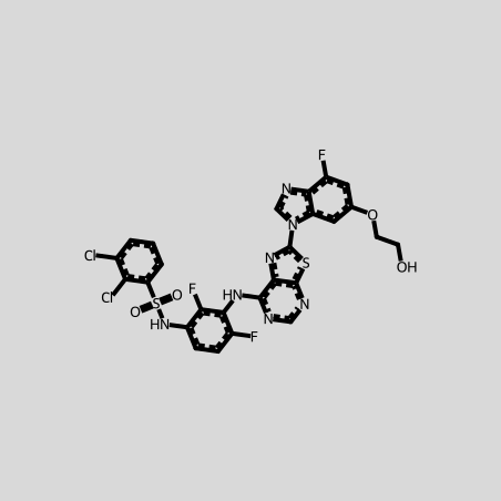 O=S(=O)(Nc1ccc(F)c(Nc2ncnc3sc(-n4cnc5c(F)cc(OCCO)cc54)nc23)c1F)c1cccc(Cl)c1Cl